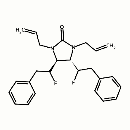 C=CCN1C(=O)N(CC=C)[C@H](C(F)Cc2ccccc2)[C@H]1C(F)Cc1ccccc1